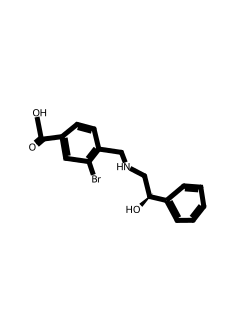 O=C(O)c1ccc(CNC[C@H](O)c2ccccc2)c(Br)c1